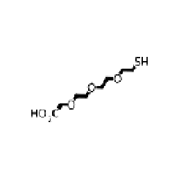 O=C(O)COCCOCCOCCS